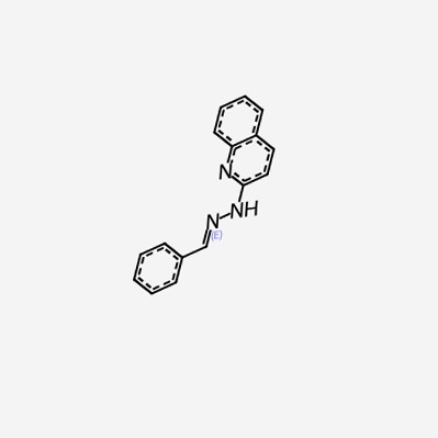 C(=N\Nc1ccc2ccccc2n1)/c1ccccc1